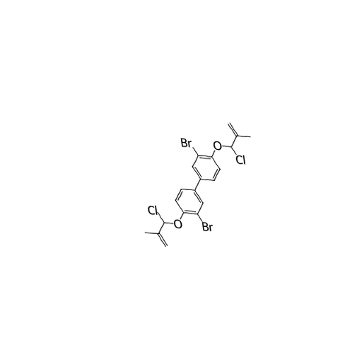 C=C(C)C(Cl)Oc1ccc(-c2ccc(OC(Cl)C(=C)C)c(Br)c2)cc1Br